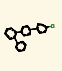 Clc1ccc(-c2ccc(-c3ccccc3-c3ccccc3)cc2)cc1